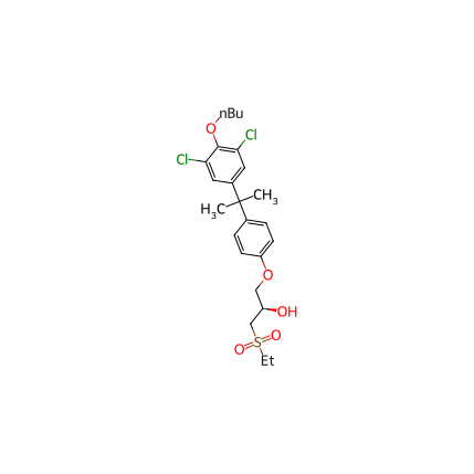 CCCCOc1c(Cl)cc(C(C)(C)c2ccc(OC[C@@H](O)CS(=O)(=O)CC)cc2)cc1Cl